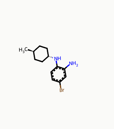 C[C@H]1CC[C@H](Nc2ccc(Br)cc2N)CC1